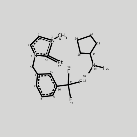 Cn1ccn(Cc2cccc(C(F)(F)F)c2)[c]1=[Pt].IN(I)C1CCCC1